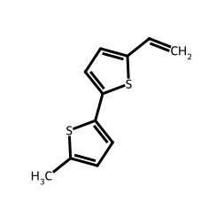 C=Cc1ccc(-c2ccc(C)s2)s1